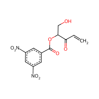 C=CC(=O)C(CO)OC(=O)c1cc([N+](=O)[O-])cc([N+](=O)[O-])c1